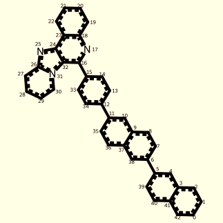 c1ccc2cc(-c3ccc4cc(-c5ccc(-c6nc7ccccc7c7nc8ccccn8c67)cc5)ccc4c3)ccc2c1